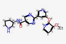 CCOc1cccnc1Oc1cncc(-c2ncc(C(=O)N[C@@H]3CCCNC3)cn2)c1